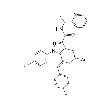 CC(=O)N1C/C(=C\c2ccc(F)cc2)c2c(c(C(=O)NC(C)c3ccccn3)nn2-c2ccc(Cl)cc2)C1